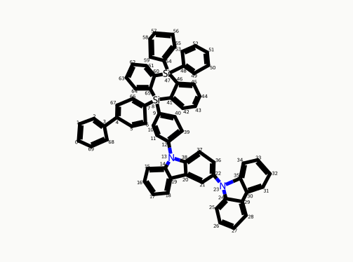 c1ccc(-c2ccc([Si]3(c4ccc(-n5c6ccccc6c6cc(-n7c8ccccc8c8ccccc87)ccc65)cc4)c4ccccc4[Si](c4ccccc4)(c4ccccc4)c4ccccc43)cc2)cc1